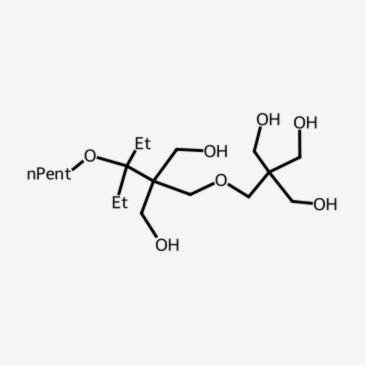 CCCCCOC(CC)(CC)C(CO)(CO)COCC(CO)(CO)CO